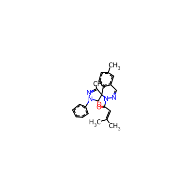 CC(C)=CC(=O)N1N=Cc2cc(C)ccc2C12C(=O)N(c1ccccc1)N=C2C